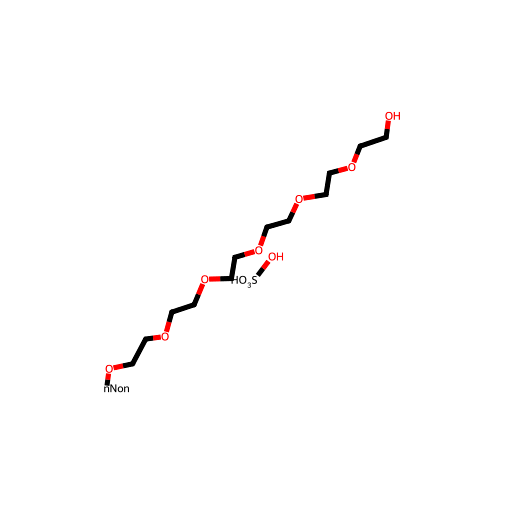 CCCCCCCCCOCCOCCOCCOCCOCCOCCO.O=S(=O)(O)O